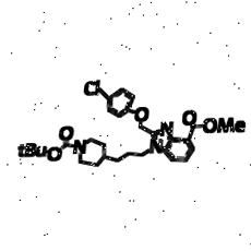 COC(=O)c1cccc2c1nc(COc1ccc(Cl)cc1)n2CCCC1CCN(C(=O)OC(C)(C)C)CC1